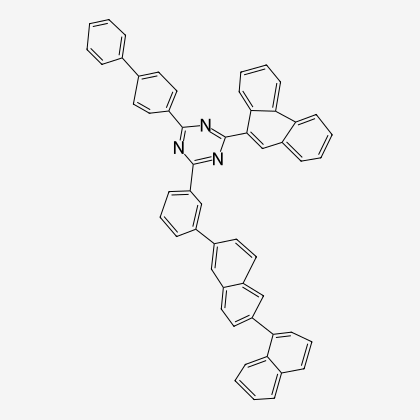 c1ccc(-c2ccc(-c3nc(-c4cccc(-c5ccc6cc(-c7cccc8ccccc78)ccc6c5)c4)nc(-c4cc5ccccc5c5ccccc45)n3)cc2)cc1